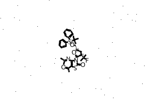 CC(=O)c1sc(=O)n([C@@H]2O[C@H](CO[Si](c3ccccc3)(c3ccccc3)C(C)(C)C)C[C@H]2C(C)(C)F)c1N=C(C)C